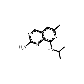 Cc1cc2cnc(N)nc2c(NC(C)C)n1